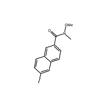 CON(C)C(=O)c1ccc2cc(F)ccc2c1